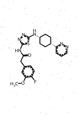 COc1cc(CC(=O)Nc2nnc(N[C@H]3CC[C@@H](c4cccnn4)CC3)s2)ccc1F